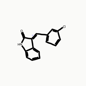 O=C1Nc2ccccc2/C1=C\c1cccc(Cl)c1